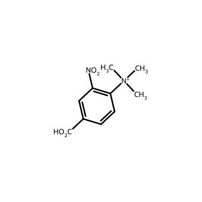 C[N+](C)(C)c1ccc(C(=O)O)cc1[N+](=O)[O-]